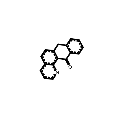 O=C1c2ccccc2Cc2ccc3cccnc3c21